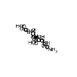 COc1cc(N=Nc2c(S(=O)(=O)O)cc3cc(NC(=O)c4ccc(N)cc4)ccc3c2O)c(O)cc1N=Nc1ccc(S(=O)(=O)O)cc1